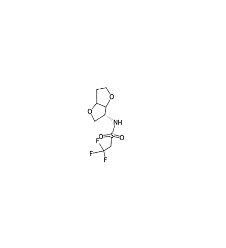 O=S(=O)(CC(F)(F)F)N[C@@H]1COC2CCOC21